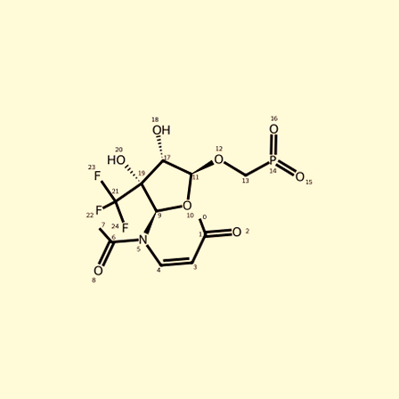 CC(=O)/C=C\N(C(C)=O)[C@@H]1O[C@H](OCP(=O)=O)[C@@H](O)[C@]1(O)C(F)(F)F